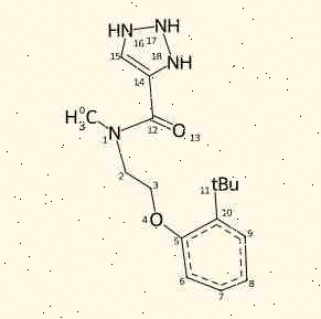 CN(CCOc1ccccc1C(C)(C)C)C(=O)C1=CNNN1